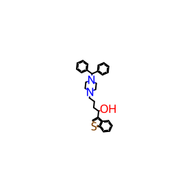 OC(CCCN1CCN(C(c2ccccc2)c2ccccc2)CC1)c1csc2ccccc12